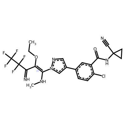 CCO/C(C(=N)C(F)(F)C(F)(F)F)=C(/NC)n1cc(-c2ccc(Cl)c(C(=O)NC3(C#N)CC3)c2)cn1